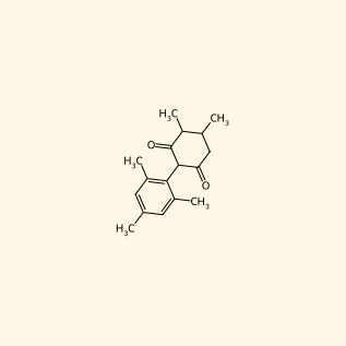 Cc1cc(C)c(C2C(=O)CC(C)C(C)C2=O)c(C)c1